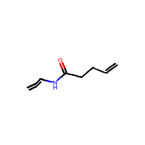 C=CCCC(=O)NC=C